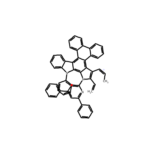 C=Cc1c(/C=C\C)c2c3c4ccccc4c4ccccc4c3c3c4ccccc4n(-c4ccccc4)c3c2n1-c1cc(-c2ccccc2)cc(-c2ccccc2)n1